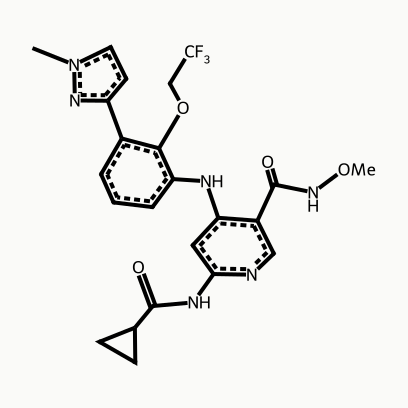 CONC(=O)c1cnc(NC(=O)C2CC2)cc1Nc1cccc(-c2ccn(C)n2)c1OCC(F)(F)F